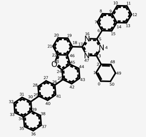 C1=CC(c2nc(-c3ccc4ccccc4c3)nc(-c3cccc4oc5c(-c6ccc(-c7cccc8ccccc78)cc6)cccc5c34)n2)=CCC1